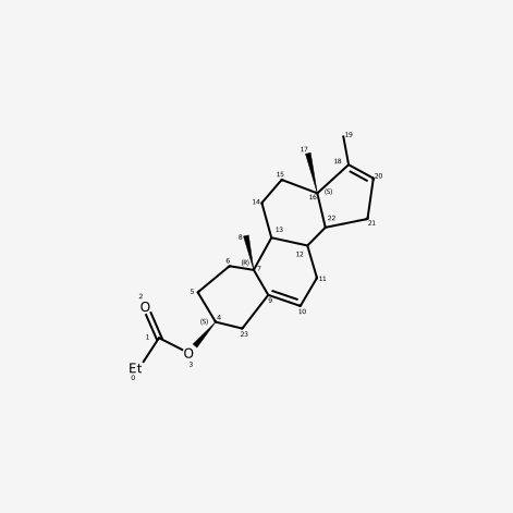 CCC(=O)O[C@H]1CC[C@@]2(C)C(=CCC3C2CC[C@]2(C)C(C)=CCC32)C1